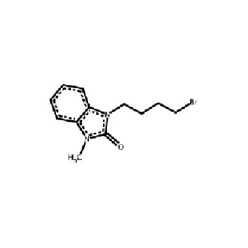 Cn1c(=O)n(CCCCBr)c2ccccc21